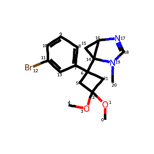 COC1(OC)CC(c2cccc(Br)c2)(C23CC2N=CN3C)C1